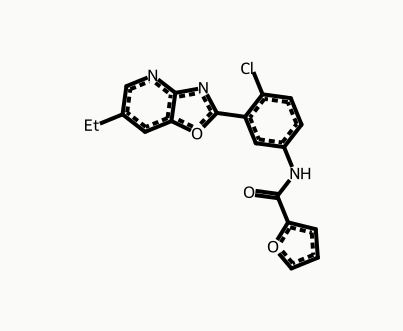 CCc1cnc2nc(-c3cc(NC(=O)c4ccco4)ccc3Cl)oc2c1